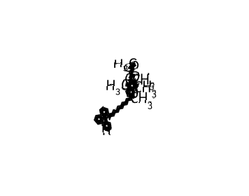 COC(=O)CCC(=O)Oc1c(C)c(C)c2c(c1C)CCC(C)(CCCCCCCCCCC[PH](c1ccccc1)(c1ccccc1)c1ccccc1)O2